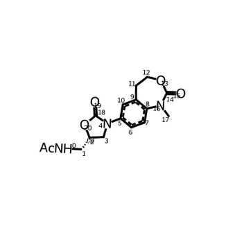 CC(=O)NC[C@H]1CN(c2ccc3c(c2)CCOC(=O)N3C)C(=O)O1